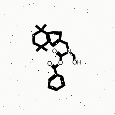 CC1(C)CCC(C)(C)c2cc(CN(CO)C(=O)OC(=O)c3ccccc3)ccc21